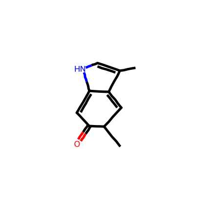 Cc1c[nH]c2c1=CC(C)C(=O)C=2